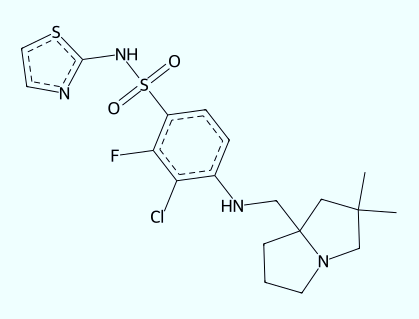 CC1(C)CN2CCCC2(CNc2ccc(S(=O)(=O)Nc3nccs3)c(F)c2Cl)C1